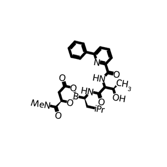 CNC(=O)[C@H]1CC(=O)OB([C@H](CC(C)C)NC(=O)C(NC(=O)c2cccc(-c3ccccc3)n2)[C@@H](C)O)O1